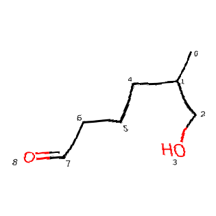 CC(CO)CCCC=O